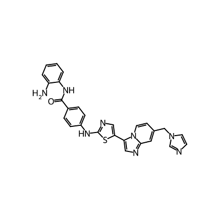 Nc1ccccc1NC(=O)c1ccc(Nc2ncc(-c3cnc4cc(Cn5ccnc5)ccn34)s2)cc1